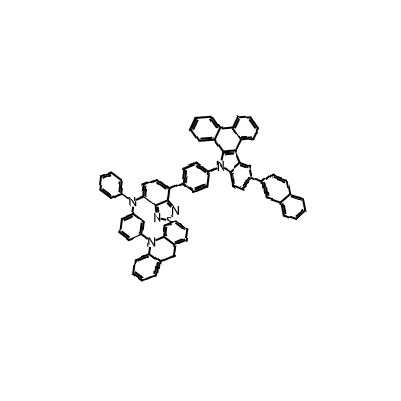 c1ccc(N(c2cccc(N3c4ccccc4Cc4ccccc43)c2)c2ccc(-c3ccc(-n4c5ccc(-c6ccc7ccccc7c6)cc5c5c6ccccc6c6ccccc6c54)cc3)c3nsnc23)cc1